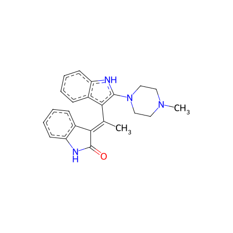 CC(=C1C(=O)Nc2ccccc21)c1c(N2CCN(C)CC2)[nH]c2ccccc12